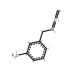 C=C=NCc1cccc(C(F)(F)F)c1